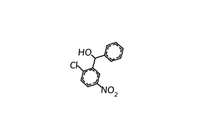 O=[N+]([O-])c1ccc(Cl)c(C(O)c2ccccc2)c1